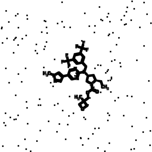 CC[C@@H]1C[C@H](N(Cc2cc(C(F)(F)F)cc(C(F)(F)F)c2)c2ncc(-c3cnn(C)c3)cn2)CN1C(=O)OCC1(C)COC1